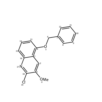 COc1cc2c(OCc3ccccc3)cccc2nc1Cl